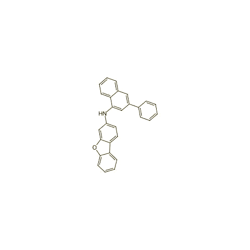 c1ccc(-c2cc(Nc3ccc4c(c3)oc3ccccc34)c3ccccc3c2)cc1